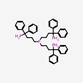 PC(CCCP(CCCC(P)(c1ccccc1)c1ccccc1)CCCC(P)(c1ccccc1)c1ccccc1)(c1ccccc1)c1ccccc1